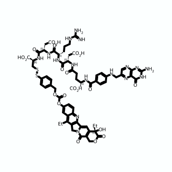 CCc1c2c(nc3ccc(OC(=O)OCc4ccc(SSC[C@H](NC(=O)[C@H](CC(=O)O)NC(=O)[C@H](CCCNC(=N)N)NC(=O)[C@H](CC(=O)O)NC(=O)CC[C@H](NC(=O)c5ccc(NCc6cnc7nc(N)[nH]c(=O)c7n6)cc5)C(=O)O)C(=O)O)cc4)cc13)-c1cc3c(c(=O)n1C2)COC(=O)[C@]3(O)CC